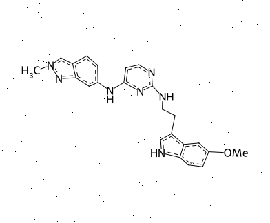 COc1ccc2[nH]cc(CCNc3nccc(Nc4ccc5cn(C)nc5c4)n3)c2c1